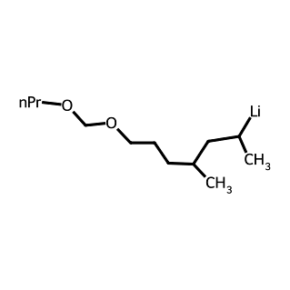 [Li][CH](C)CC(C)CCCOCOCCC